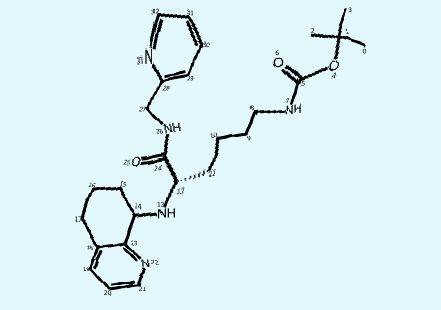 CC(C)(C)OC(=O)NCCCC[C@H](NC1CCCc2cccnc21)C(=O)NCc1ccccn1